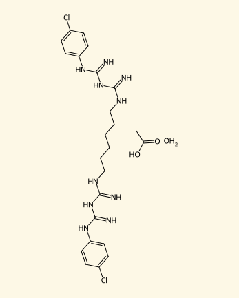 CC(=O)O.N=C(NCCCCCCNC(=N)NC(=N)Nc1ccc(Cl)cc1)NC(=N)Nc1ccc(Cl)cc1.O